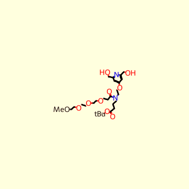 COCCOCCOCCOCCC(=O)N(CCCC(=O)OC(C)(C)C)CCOc1cc(CO)nc(CO)c1